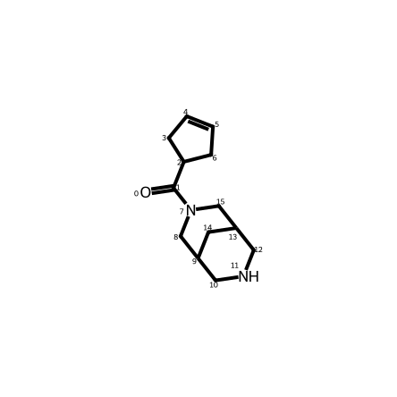 O=C(C1CC=CC1)N1CC2CNCC(C2)C1